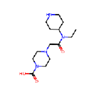 CCN(C(=O)CN1CCN(C(=O)O)CC1)C1CCNCC1